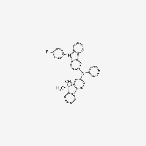 CC1(C)c2ccccc2-c2ccc(N(c3ccccc3)c3ccc4c(c3)c3ccccc3n4-c3ccc(F)cc3)cc21